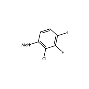 CNc1ccc(I)c(F)c1Cl